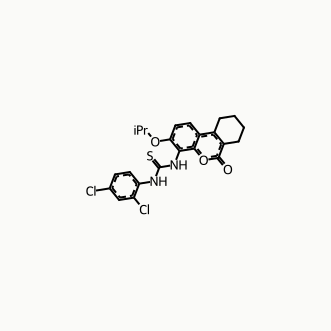 CC(C)Oc1ccc2c3c(c(=O)oc2c1NC(=S)Nc1ccc(Cl)cc1Cl)CCCC3